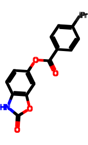 CC(C)c1ccc(C(=O)Oc2ccc3[nH]c(=O)oc3c2)cc1